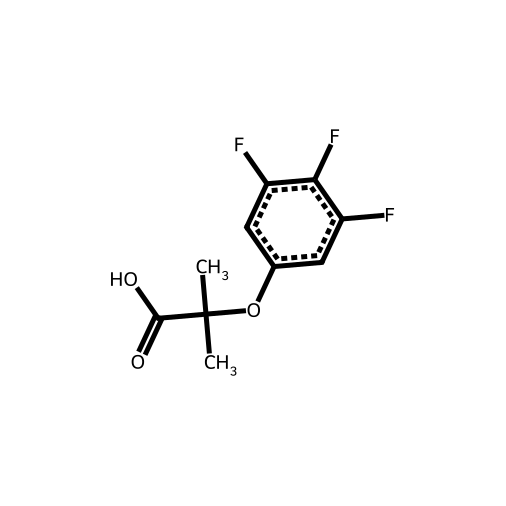 CC(C)(Oc1cc(F)c(F)c(F)c1)C(=O)O